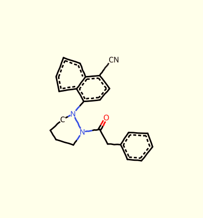 N#Cc1ccc(N2CCCCN2C(=O)Cc2ccccc2)c2ccccc12